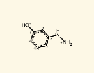 NNc1cncc(O)c1